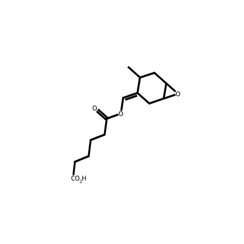 CC1CC2OC2CC1=COC(=O)CCCCC(=O)O